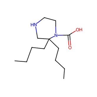 CCCCC1(CCCC)CNCCN1C(=O)O